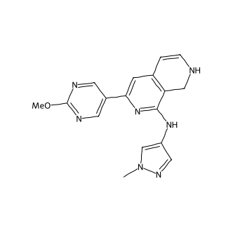 COc1ncc(-c2cc3c(c(Nc4cnn(C)c4)n2)CNC=C3)cn1